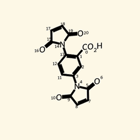 O=C(O)c1cc(N2C(=O)C=CC2=O)ccc1N1C(=O)C=CC1=O